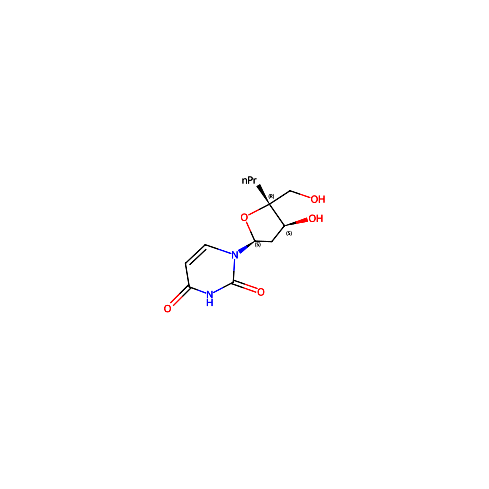 CCC[C@]1(CO)O[C@H](n2ccc(=O)[nH]c2=O)C[C@@H]1O